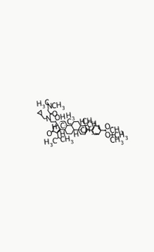 CC(C)C1=C2[C@H]3CC[C@@H]4[C@@]5(C)CC=C(c6ccc(C(=O)OC(C)(C)C)cc6)C(C)(C)[C@@H]5CC[C@@]4(C)[C@]3(C)CC[C@@]2([C@@H](O)CN(CC2CC2)C(=O)CN(C)C)CC1=O